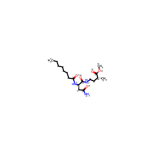 CCCCCCCC(=O)N[C@H](CC(N)=O)C(=O)NCC[C@@H](C)C(=O)OC